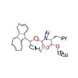 CC(C)C[C@H](NC(=O)OC(C)C1c2ccccc2-c2ccccc21)C(=O)OC(C)(C)C